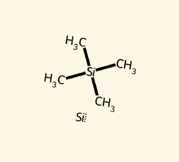 C[Si](C)(C)C.[Si]